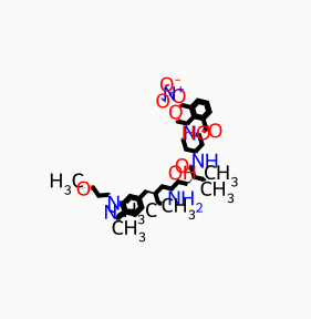 COCCCn1nc(C)c2ccc(C[C@@H](C[C@H](N)[C@@H](O)C[C@H](C(=O)NC3CCN(C(C=O)c4c(CO[N+](=O)[O-])cccc4C(=O)O)CC3)C(C)C)C(C)C)cc21